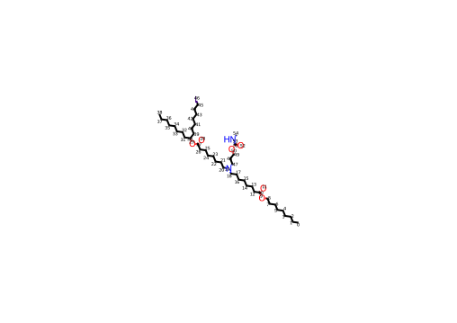 CCCCCCCCCOC(=O)CCCCCCCN(CCCCCCCC(=O)OC(CCCCCCCC)CCCCCCCI)CCCOC(=O)NC